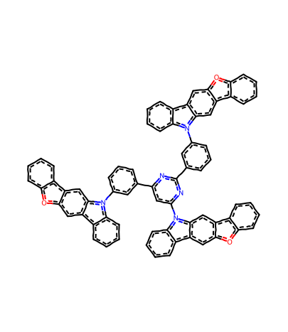 c1cc(-c2cc(-n3c4ccccc4c4cc5oc6ccccc6c5cc43)nc(-c3cccc(-n4c5ccccc5c5cc6oc7ccccc7c6cc54)c3)n2)cc(-n2c3ccccc3c3cc4oc5ccccc5c4cc32)c1